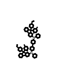 C=Cc1ccc(C2(c3cc(C)ccc3C)c3ccccc3-c3ccc(N(c4ccccc4)c4ccc(-c5ccc(N(c6ccccc6)c6ccc7c(c6)C(c6ccc(C=C)cc6)(c6cc(C)ccc6C)c6ccccc6-7)cc5)cc4)cc32)cc1